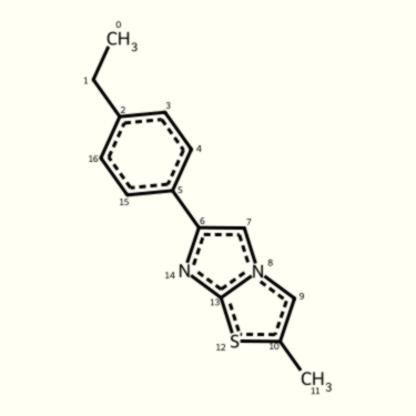 CCc1ccc(-c2cn3cc(C)sc3n2)cc1